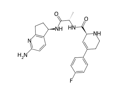 C[C@H](NC(=O)[C@@H]1C=C(c2ccc(F)cc2)CCN1)C(=O)N[C@@H]1CCc2nc(N)ccc21